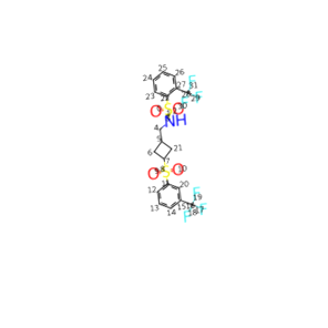 O=S(=O)(NCC1CC(S(=O)(=O)c2cccc(C(F)(F)F)c2)C1)c1ccccc1C(F)(F)F